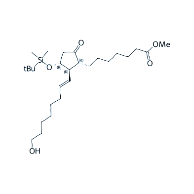 COC(=O)CCCCCC[C@H]1C(=O)C[C@@H](O[Si](C)(C)C(C)(C)C)[C@@H]1C=CCCCCCCO